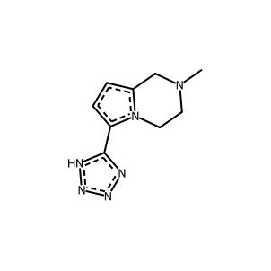 CN1CCn2c(ccc2-c2nnn[nH]2)C1